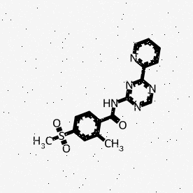 Cc1cc(S(C)(=O)=O)ccc1C(=O)Nc1ncnc(-c2ccccn2)n1